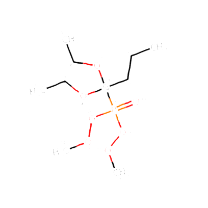 CCC[Si](OCC)(OCC)P(=O)(OOC)OOC